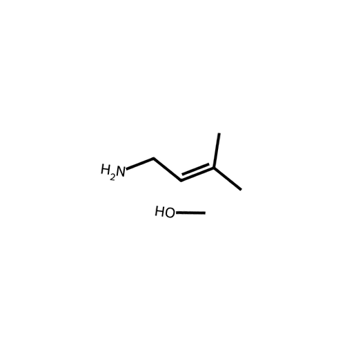 CC(C)=CCN.CO